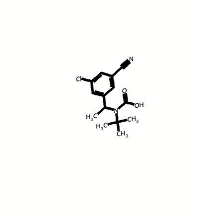 CC(c1cc(Cl)cc(C#N)c1)N(C(=O)O)C(C)(C)C